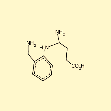 NC(N)CCC(=O)O.NCc1ccccc1